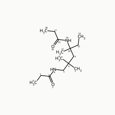 CCC(=O)NCC(C)(C)CC(C)(CC)NC(=O)CC